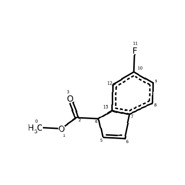 COC(=O)C1C=Cc2ccc(F)cc21